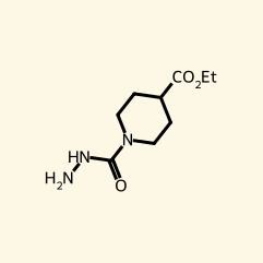 CCOC(=O)C1CCN(C(=O)NN)CC1